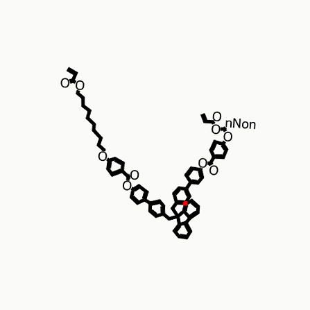 C=CC(=O)OCCCCCCCCCCOc1ccc(C(=O)Oc2ccc(-c3ccc(CC4(Cc5ccc(-c6ccc(OC(=O)c7ccc(OC(CCCCCCCCC)OC(=O)C=C)cc7)cc6)cc5)c5ccccc5-c5ccccc54)cc3)cc2)cc1